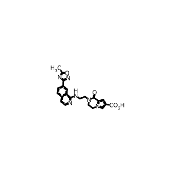 Cc1nc(-c2ccc3ccnc(NCCN4CCn5cc(C(=O)O)cc5C4=O)c3c2)no1